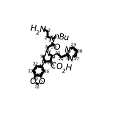 CCCCN(CCN)C(=O)CN1C[C@H](c2ccc3c(c2)OCO3)[C@@H](C(=O)O)[C@@H]1CCc1ncccn1